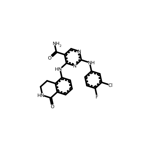 NC(=O)c1cnc(Nc2ccc(F)c(Cl)c2)nc1Nc1cccc2c1CCNC2=O